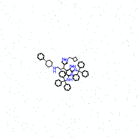 c1ccc(C(Nc2cc(C(CCN[C@H]3CC[C@H](c4ccccc4)CC3)c3cnn(CC4CCC4)c3)c3nnn(C(c4ccccc4)(c4ccccc4)c4ccccc4)c3n2)(c2ccccc2)c2ccccc2)cc1